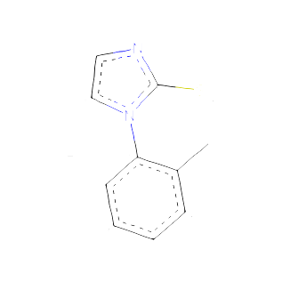 Cc1ccccc1-n1ccnc1[S-].[Li+]